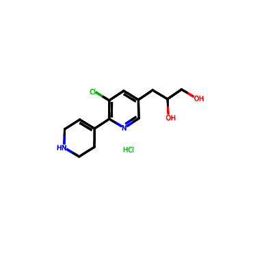 Cl.OCC(O)Cc1cnc(C2=CCNCC2)c(Cl)c1